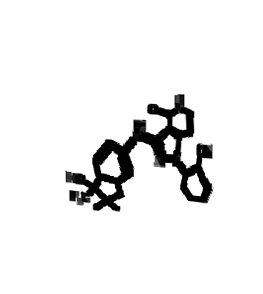 CC1(C)Cc2cc(Nc3nn(C4CCCCC4C#N)c4cc[nH]c(=O)c34)ccc2C1(O)C(F)(F)F